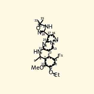 CCOc1cc(F)cc(C(C)Nc2ccn3ncc(C4=NOC(C)(C)N4)c3n2)c1OC